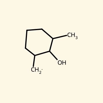 [CH2]C1CCCC(C)C1O